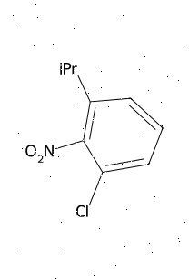 CC(C)c1cccc(Cl)c1[N+](=O)[O-]